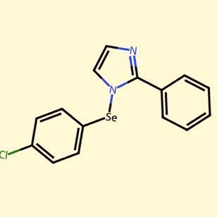 Clc1ccc([Se]n2ccnc2-c2ccccc2)cc1